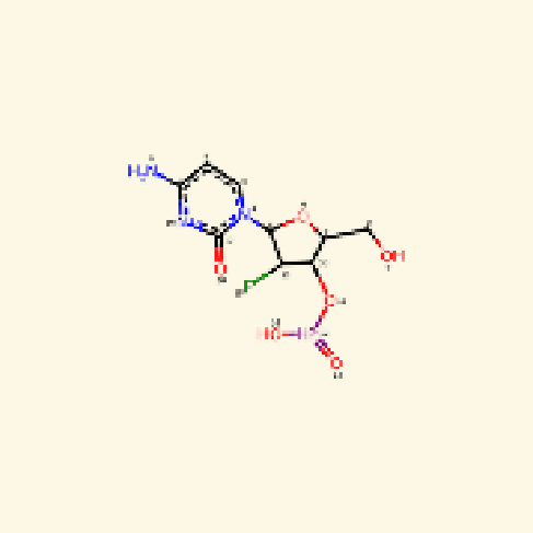 Nc1ccn(C2OC(CO)C(O[PH](=O)O)C2F)c(=O)n1